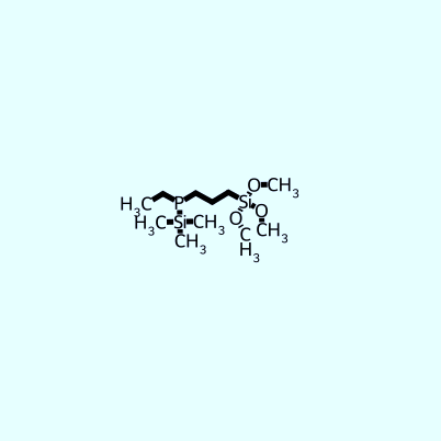 CCP(CCC[Si](OC)(OC)OC)[Si](C)(C)C